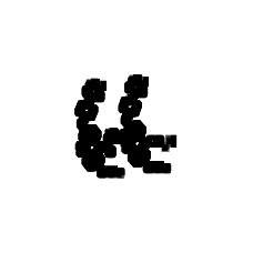 COc1ccc2c(c1)N(C(=O)O)c1ccc(CN3CCN(C(=O)OC(C)(C)C)CC3)c(C(C)(C)C)c1C2(C)C.COc1ccc2c(c1)N(C(=O)OC(C)(C)C)c1ccc(CN3CCN(C(=O)OC(C)(C)C)CC3)cc1C2(C)C